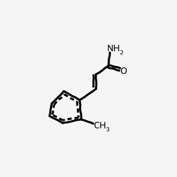 Cc1ccccc1C=CC(N)=O